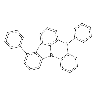 c1ccc(-c2cccc3c2-c2cccc4c2B3c2ccccc2N4c2ccccc2)cc1